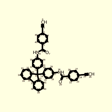 C#Cc1ccc(C(=O)Nc2ccc(C3(c4ccc(NC(=O)c5ccc(C#C)cc5)cc4)c4ccccc4-c4ccccc43)cc2)cc1